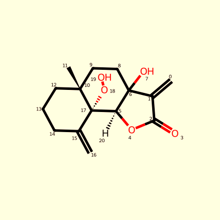 C=C1C(=O)O[C@@H]2C1(O)CC[C@@]1(C)CCCC(=C)[C@]21OO